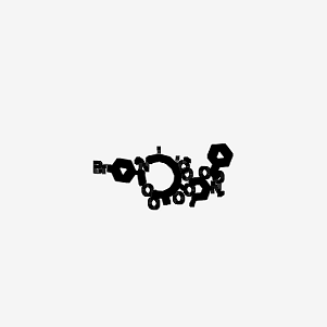 CO[C@]1(C)C[C@@H](C)CN(C)[C@H](c2ccc(Br)cc2)COC(=O)C(C)C(=O)[C@H](C)[C@H]1O[C@@H]1O[C@H](C)C[C@H](N(C)C)[C@H]1OC(=O)c1ccccc1